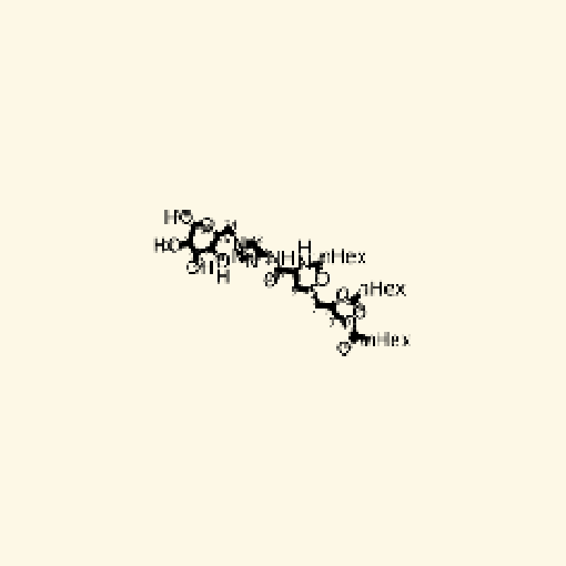 CCCCCCC(=O)NC(CSCC(COC(=O)CCCCCC)OC(=O)CCCCCC)C(=O)Nc1cn(CC2OC(O)C(O)C(O)C2O)nn1